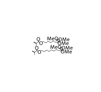 C=C(C)C(=O)OCCCCCCCC[Si](OC)(OC)OC.C=C(C)C(=O)OCCCCCC[Si](OC)(OC)OC